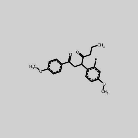 CCCC(=O)C(CC(=O)c1ccc(OC)cc1)c1ccc(OC)cc1F